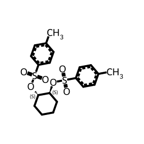 Cc1ccc(S(=O)(=O)O[C@H]2CCCC[C@@H]2OS(=O)(=O)c2ccc(C)cc2)cc1